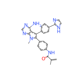 C=C(C)C(=O)Nc1ccc(-c2c(-c3ccc(-c4ncc[nH]4)cc3)c3c(N)ncnc3n2C)cc1